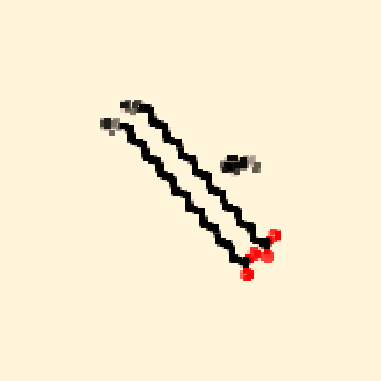 CCCCCCCCCCCCCCCCCC(=O)[O-].CCCCCCCCCCCCCCCCCC(=O)[O-].[Mg+2].[MgH2]